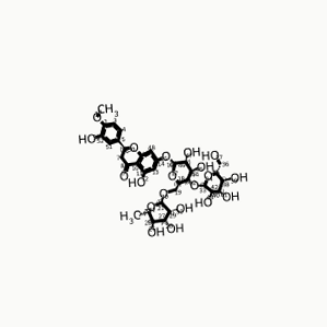 COc1ccc([C@@H]2CC(=O)c3c(O)cc(O[C@@H]4O[C@H](CO[C@@H]5O[C@@H](C)[C@H](O)[C@@H](O)[C@H]5O)[C@@H](O[C@H]5O[C@H](CO)[C@@H](O)[C@H](O)[C@H]5O)[C@H](O)[C@H]4O)cc3O2)cc1O